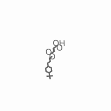 CC(C)(C)C1CCC(CCCOC(=O)/C=C/C(=O)O)CC1